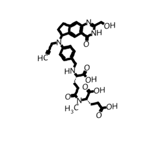 C#CCN(c1ccc(CN[C@@H](CCC(=O)N(C)[C@@H](CCC(=O)O)C(=O)O)C(=O)O)cc1)C1CCc2cc3nc(CO)[nH]c(=O)c3cc21